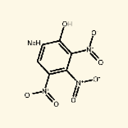 O=[N+]([O-])c1ccc(O)c([N+](=O)[O-])c1[N+](=O)[O-].[NaH]